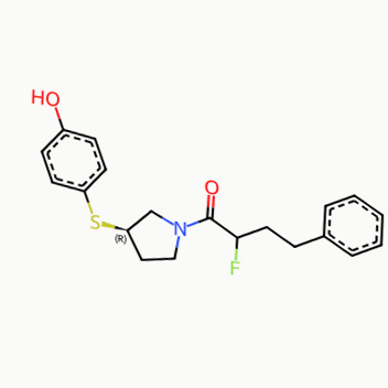 O=C(C(F)CCc1ccccc1)N1CC[C@@H](Sc2ccc(O)cc2)C1